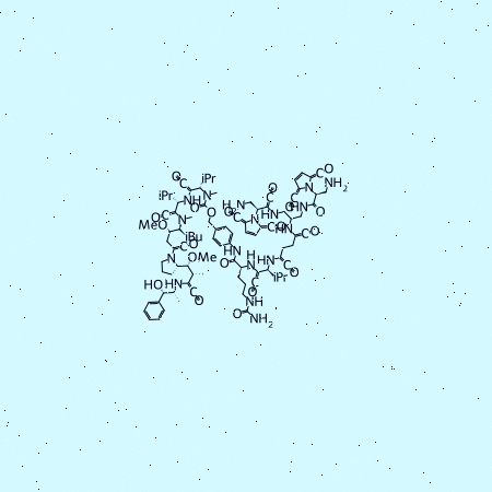 CC[C@H](C)[C@@H]([C@@H](CC(=C=O)N1CCC[C@H]1[C@H](OC)[C@H](C)C(=C=O)N[C@H](C)[C@@H](O)c1ccccc1)OC)N(C)C(=C=O)[C@@H](NC(=C=O)[C@H](C(C)C)N(C)C(=O)OCc1ccc(NC(=O)[C@H](CCCNC(N)=O)NC(=C=O)[C@@H](NC(=C=O)CCC(=C=O)NC(CNC(=O)[C@H](CN)n2c(=C=O)ccc2=C=O)CNC(=C=O)[C@H](CN)n2c(=C=O)ccc2=C=O)C(C)C)cc1)C(C)C